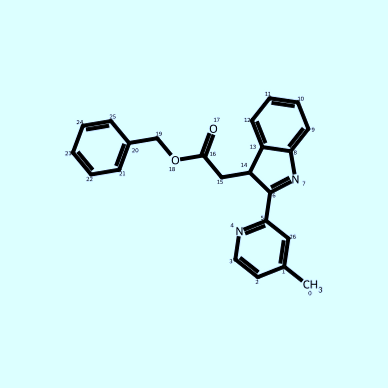 Cc1ccnc(C2=Nc3ccccc3C2CC(=O)OCc2ccccc2)c1